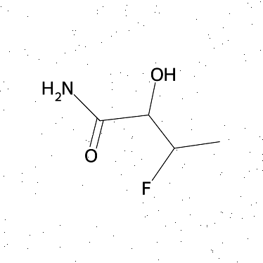 CC(F)C(O)C(N)=O